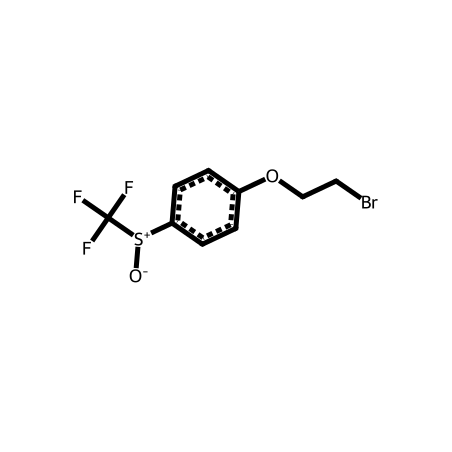 [O-][S+](c1ccc(OCCBr)cc1)C(F)(F)F